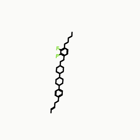 C/C=C/CCc1ccc(C2CCC(C3CCC(CCc4ccc(CCCCC)c(F)c4F)CC3)CC2)cc1